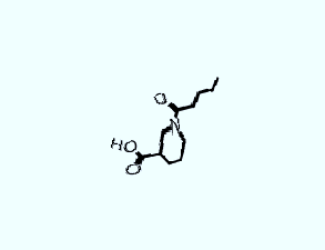 CCCCC(=O)N1CCCC(C(=O)O)C1